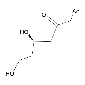 CC(=O)CC(=O)C[C@H](O)CCO